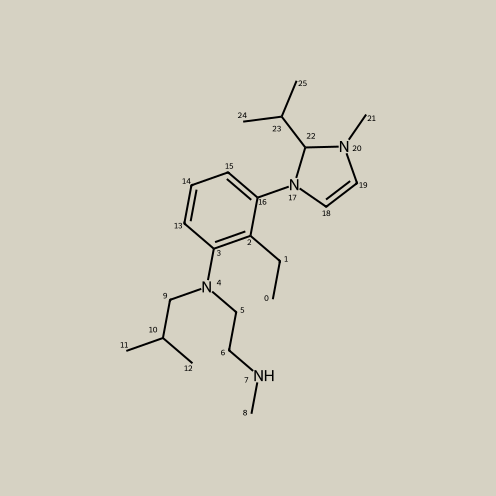 CCc1c(N(CCNC)CC(C)C)cccc1N1C=CN(C)C1C(C)C